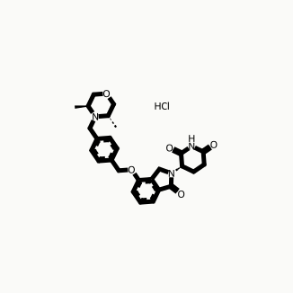 C[C@H]1COC[C@H](C)N1Cc1ccc(COc2cccc3c2CN([C@H]2CCC(=O)NC2=O)C3=O)cc1.Cl